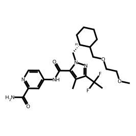 COCCOCC1CCCC[C@H]1Cn1nc(C(C)(F)F)c(C)c1C(=O)Nc1ccnc(C(N)=O)c1